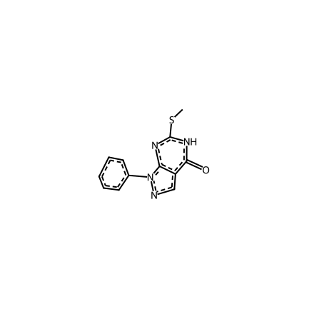 CSc1nc2c(cnn2-c2ccccc2)c(=O)[nH]1